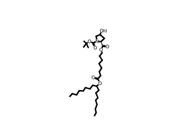 CCCCCCCCC(CCCCCCCC)OC(=O)CCCCCCCOC(=O)[C@@H]1CC(O)CN1C(=O)OC(C)(C)C